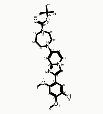 COc1cc(OC)c(-c2cn3ccc(N4CCCN(C(=O)OC(C)(C)C)CC4)cc3n2)cc1Cl